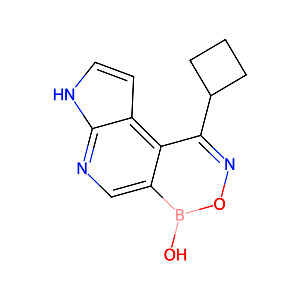 OB1ON=C(C2CCC2)c2c1cnc1[nH]ccc21